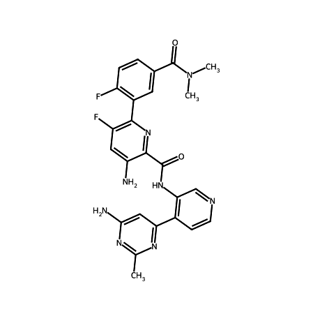 Cc1nc(N)cc(-c2ccncc2NC(=O)c2nc(-c3cc(C(=O)N(C)C)ccc3F)c(F)cc2N)n1